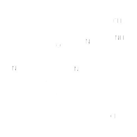 CNc1nc(=O)n(C2CC2C#N)c2cc(Cl)ccc12